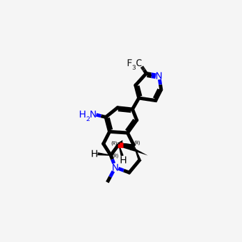 CN1CC[C@]23CCCC[C@H]2[C@H]1Cc1c(N)cc(-c2ccnc(C(F)(F)F)c2)cc13